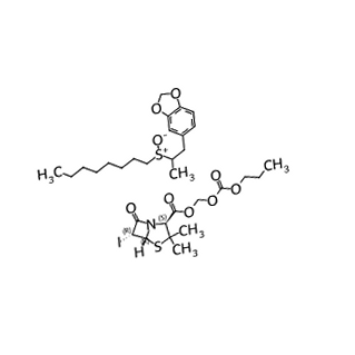 CCCCCCCC[S+]([O-])C(C)Cc1ccc2c(c1)OCO2.CCCOC(=O)OCOC(=O)[C@@H]1N2C(=O)[C@@H](I)[C@H]2SC1(C)C